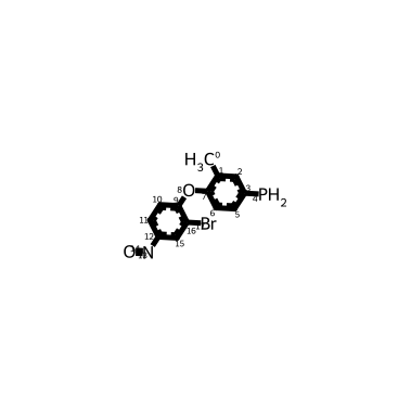 Cc1cc(P)ccc1Oc1ccc(N=O)cc1Br